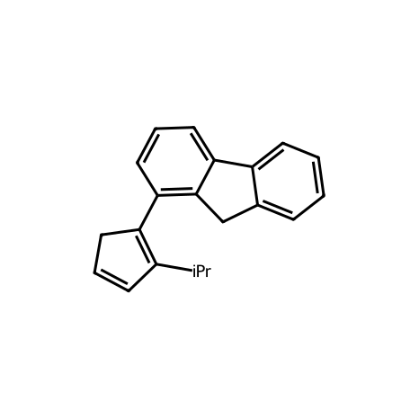 CC(C)C1=C(c2cccc3c2Cc2ccccc2-3)CC=C1